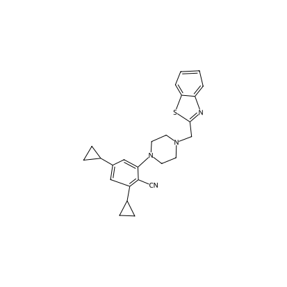 N#Cc1c(C2CC2)cc(C2CC2)cc1N1CCN(Cc2nc3ccccc3s2)CC1